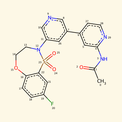 CC(=O)Nc1cc(-c2cncc(N3CCOc4ccc(F)cc4S3(=O)=O)c2)ccn1